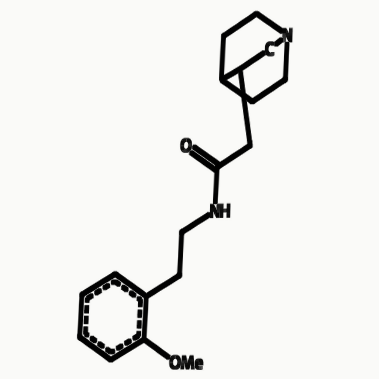 COc1ccccc1CCNC(=O)CC1CN2CCC1CC2